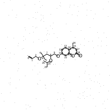 C=CCOC(C)(C)CC(COc1ccc2c(C)cc(=O)oc2c1)OC(C)C